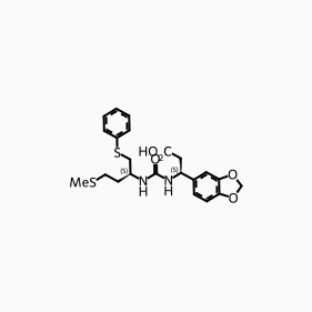 CSCC[C@@H](CSc1ccccc1)NC(=O)N[C@@H](CC(=O)O)c1ccc2c(c1)OCO2